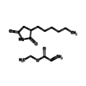 C=CC(=O)OCC.CCCCCCC1CC(=O)NC1=O